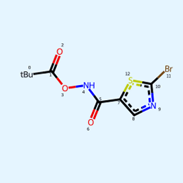 CC(C)(C)C(=O)ONC(=O)c1cnc(Br)s1